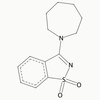 O=S1(=O)N=C(N2CCCCCC2)c2ccccc21